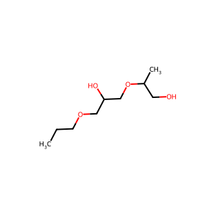 CCCOCC(O)COC(C)CO